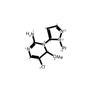 COC1C(Cl)=CN=C(N)N1c1ccnn1C(C)C